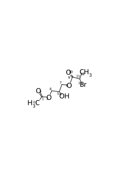 CC(=O)OCC(O)COC(=O)C(C)Br